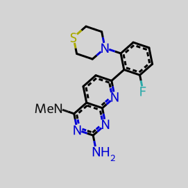 CNc1nc(N)nc2nc(-c3c(F)cccc3N3CCSCC3)ccc12